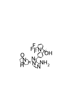 C[C@](O)(c1ccc(-c2nc([C@@H]3CC[C@H]4CCC(=O)N4C3)n3ccnc(N)c23)cc1)c1cccc(C(F)(F)F)n1